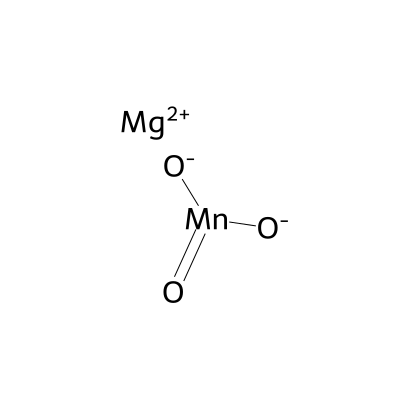 [Mg+2].[O]=[Mn]([O-])[O-]